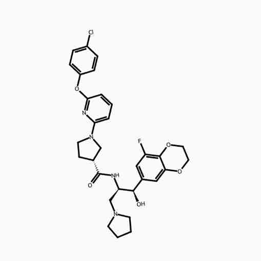 O=C(N[C@H](CN1CCCC1)[C@H](O)c1cc(F)c2c(c1)OCCO2)[C@@H]1CCN(c2cccc(Oc3ccc(Cl)cc3)n2)C1